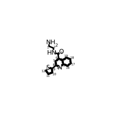 NCCNC(=O)c1cc(-c2cccs2)nc2ccccc12